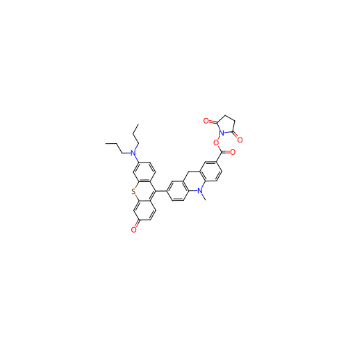 CCCN(CCC)c1ccc2c(-c3ccc4c(c3)Cc3cc(C(=O)ON5C(=O)CCC5=O)ccc3N4C)c3ccc(=O)cc-3sc2c1